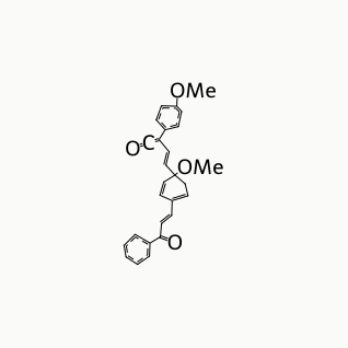 COc1ccc(C(=C=O)C=CC2(OC)C=CC(C=CC(=O)c3ccccc3)=CC2)cc1